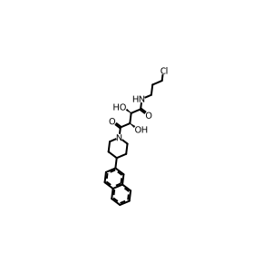 O=C(NCCCCl)[C@H](O)[C@@H](O)C(=O)N1CCC(c2ccc3ccccc3c2)CC1